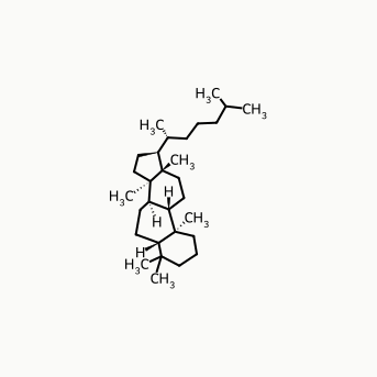 CC(C)CCC[C@@H](C)[C@@H]1CC[C@]2(C)[C@@H]3CC[C@H]4C(C)(C)CCC[C@]4(C)[C@H]3CC[C@@]12C